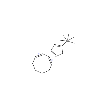 C1=C\CCCC\C=C/1.[CH3][Ir]([CH3])([CH3])([CH3])([CH3])[C]1=CC=CC1